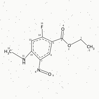 CCOC(=O)c1cc(N=O)c(NC)cc1F